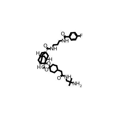 CC(C)(N)CNC(=O)CC1CCC2(CC1)OO[C@@]1(O2)[C@@H]2C[C@@H]3C[C@H]1C[C@@](C(=O)NCCCNC(=O)c1ccc(F)cc1)(C3)C2